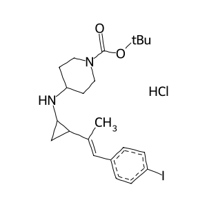 C/C(=C\c1ccc(I)cc1)C1CC1NC1CCN(C(=O)OC(C)(C)C)CC1.Cl